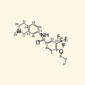 CCCOc1ccc(C(=O)Nc2ccc3c(c2)CN(C)CC3)cc1C(F)(F)F